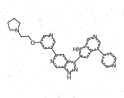 c1cc(-c2cncc3[nH]c(-c4n[nH]c5cnc(-c6cncc(OCCN7CCCC7)c6)cc45)cc23)ccn1